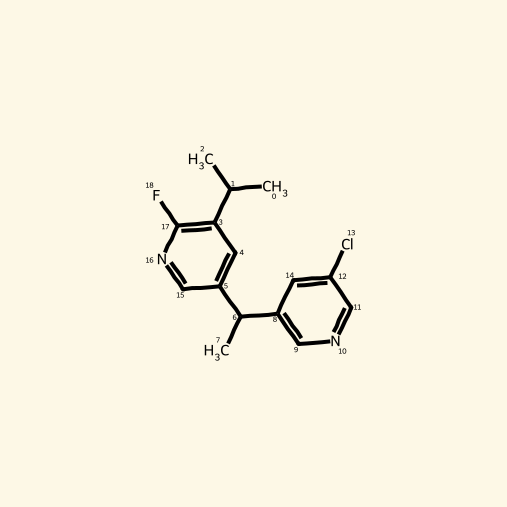 CC(C)c1cc(C(C)c2cncc(Cl)c2)cnc1F